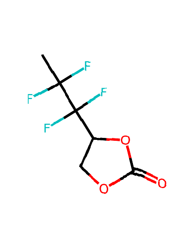 CC(F)(F)C(F)(F)C1COC(=O)O1